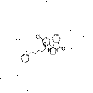 O=C(CCCCc1ccccc1)N1CCN2C(=O)c3ccccc3C12c1ccc(Cl)cc1